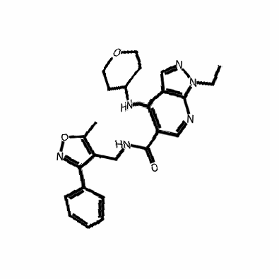 CCn1ncc2c(NC3CCOCC3)c(C(=O)NCc3c(-c4ccccc4)noc3C)cnc21